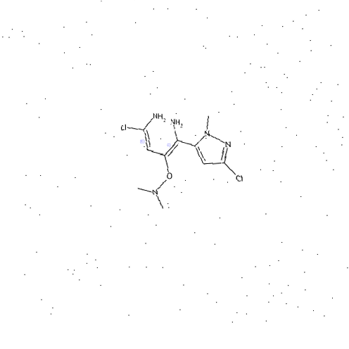 CN(C)OC(/C=C(\N)Cl)=C(/N)c1cc(Cl)nn1C